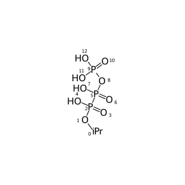 CC(C)OP(=O)(O)P(=O)(O)OP(=O)(O)O